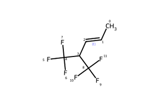 C/C=C/C(C(F)(F)F)C(F)(F)F